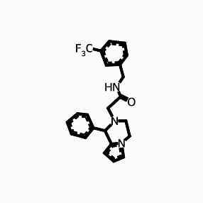 O=C(CN1CCn2cccc2C1c1ccccc1)NCc1cccc(C(F)(F)F)c1